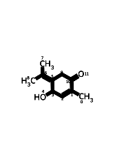 CC1=CC(O)C(=C(C)C)CC1=O